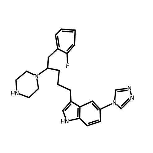 Fc1ccccc1CC(CCCc1c[nH]c2ccc(-n3cnnc3)cc12)N1CCNCC1